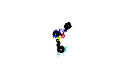 O=C(NCC1CC2CCC1C2)c1cccnc1SCCCc1cc(F)c(F)c(F)c1